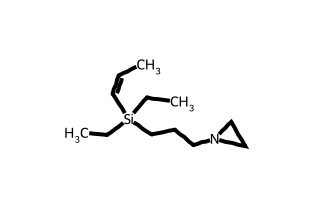 C/C=C\[Si](CC)(CC)CCCN1CC1